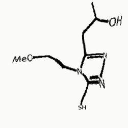 COCCn1c(S)nnc1CC(C)O